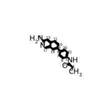 CCC(=O)Nc1ccc(-c2ccc3cc(N)ncc3c2)cc1